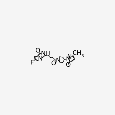 Cc1ccc(=O)n(C2CCN(C(=O)CCCc3cn4cc(F)cc4c(=O)[nH]3)CC2)n1